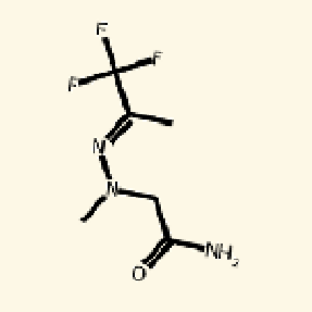 C/C(=N\N(C)CC(N)=O)C(F)(F)F